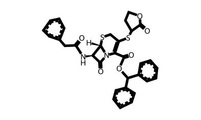 O=C(Cc1ccccc1)N[C@@H]1C(=O)N2C(C(=O)OC(c3ccccc3)c3ccccc3)=C(SC3CCOC3=O)CS[C@@H]12